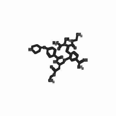 CCOC(=O)C[C@H](COc1cc(C(=N)N)ccc1/C=C(\C(=O)OCC)N(C)C(C)=O)NC(=O)c1ccc(OC2CCNCC2)cc1